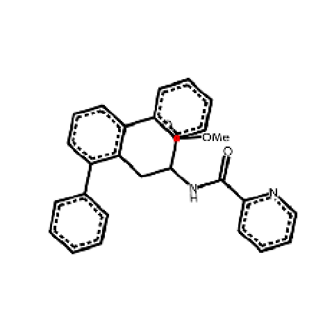 COC(=O)C(Cc1c(-c2ccccc2)cccc1-c1ccccc1)NC(=O)c1ccccn1